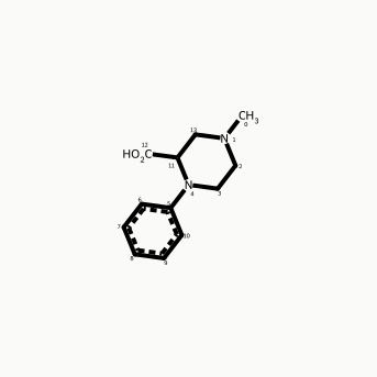 CN1CCN(c2ccccc2)C(C(=O)O)C1